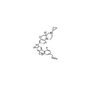 CNCc1cc(C)c(-c2cc3c(-c4ccc5c(c4)OC[C@@H]4CN(C6CC6)CCN54)n[nH]c3cc2C#N)c(F)c1